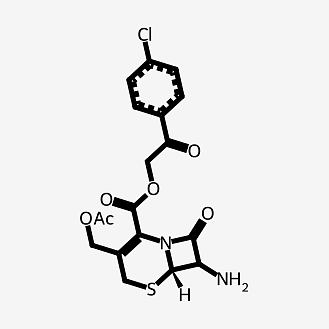 CC(=O)OCC1=C(C(=O)OCC(=O)c2ccc(Cl)cc2)N2C(=O)C(N)[C@@H]2SC1